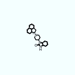 O=c1[nH]c2ccccc2n1C1CCN([C@H]2Cc3cccc4cccc2c34)CC1